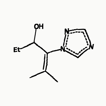 CCC(O)C(=C(C)C)n1cncn1